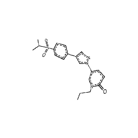 CCCn1cc(-n2cc(-c3ccc(S(=O)(=O)C(C)C)cc3)cn2)ccc1=O